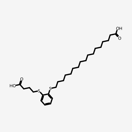 O=C(O)CCCCCCCCCCCCCCCCSc1ccccc1SCCCC(=O)O